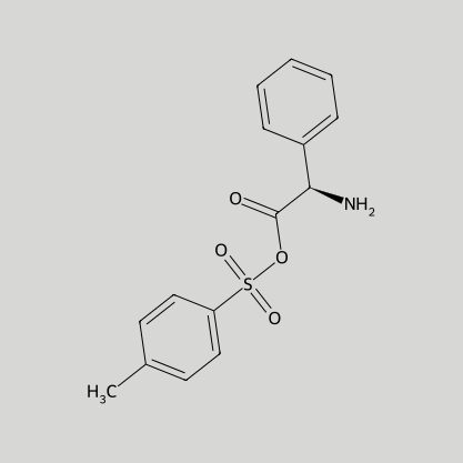 Cc1ccc(S(=O)(=O)OC(=O)[C@H](N)c2ccccc2)cc1